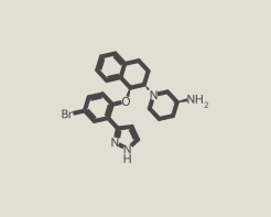 N[C@H]1CCCN([C@H]2CCc3ccccc3[C@@H]2Oc2ccc(Br)cc2-c2cc[nH]n2)C1